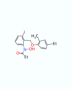 CCC(=O)N(O)c1cccc(I)c1COc1ccc(CC)cc1C